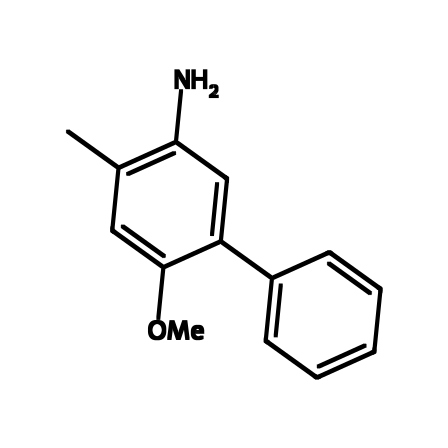 COc1cc(C)c(N)cc1-c1ccccc1